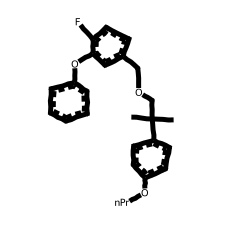 CCCOc1ccc(C(C)(C)COCc2ccc(F)c(Oc3ccccc3)c2)cc1